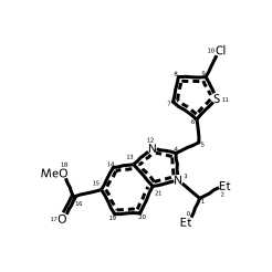 CCC(CC)n1c(Cc2ccc(Cl)s2)nc2cc(C(=O)OC)ccc21